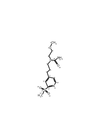 COCCN(CC[CH]c1ccnc(S(C)(=O)=O)c1)C(N)=O